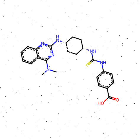 CN(C)c1nc(N[C@H]2CC[C@@H](NC(=S)Nc3ccc(C(=O)O)cc3)CC2)nc2ccccc12